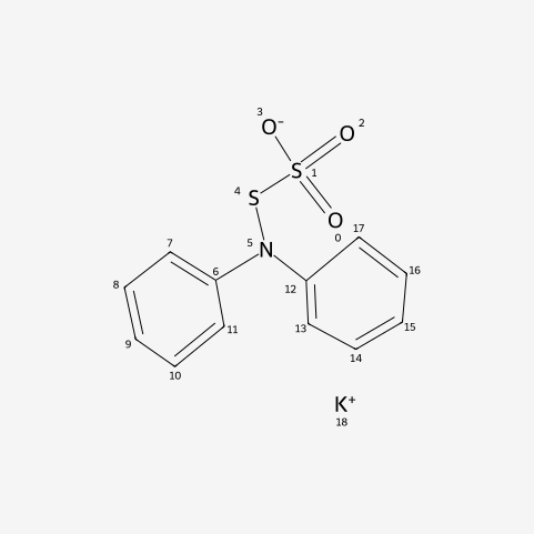 O=S(=O)([O-])SN(c1ccccc1)c1ccccc1.[K+]